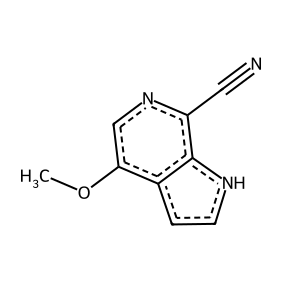 COc1cnc(C#N)c2[nH]ccc12